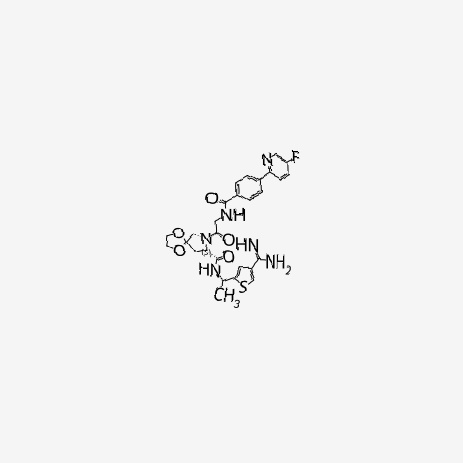 CC(NC(=O)[C@@H]1CC2(CN1C(=O)CNC(=O)c1ccc(-c3ccc(F)cn3)cc1)OCCO2)c1cc(C(=N)N)cs1